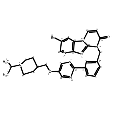 CC(C)N1CCC(COc2cnc(-c3cccc(Cn4c(=O)ccn5c6cc(Br)cnc6nc45)c3)nc2)CC1